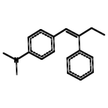 CCC(=Cc1ccc(N(C)C)cc1)c1ccccc1